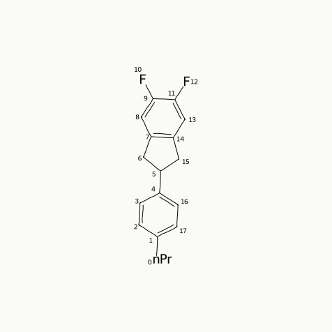 CCCc1ccc(C2Cc3cc(F)c(F)cc3C2)cc1